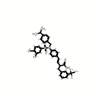 CC(C)c1ccc(CN(c2ccc(/C=C/C(Cc3cccc(C(F)(F)F)c3)C(=O)O)cc2)S(=O)(=O)c2ccc(Cl)c(Cl)c2)cc1